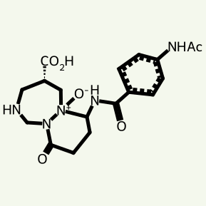 CC(=O)Nc1ccc(C(=O)NC2CCC(=O)N3CNC[C@H](C(=O)O)C[N+]23[O-])cc1